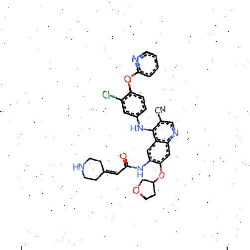 N#Cc1cnc2cc(OC3CCOC3)c(NC(=O)C=C3CCNCC3)cc2c1Nc1ccc(Oc2ccccn2)c(Cl)c1